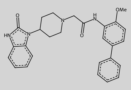 COc1ccc(-c2ccccc2)cc1NC(=O)CN1CCC(n2c(=O)[nH]c3ccccc32)CC1